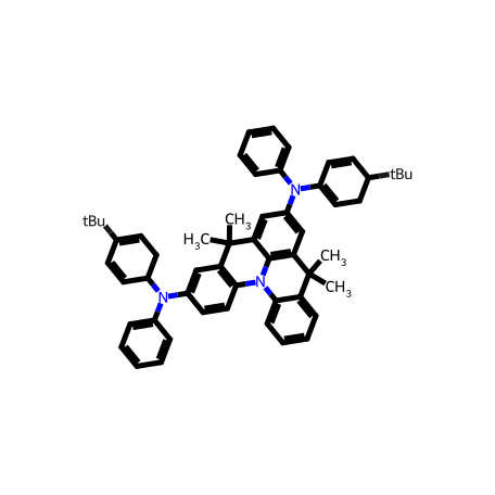 CC(C)(C)C1=CCC(N(c2ccccc2)c2ccc3c(c2)C(C)(C)c2cc(N(C4=CCC(C(C)(C)C)C=C4)c4ccccc4)cc4c2N3c2ccccc2C4(C)C)C=C1